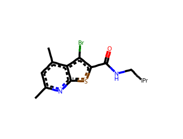 Cc1cc(C)c2c(Br)c(C(=O)NCC(C)C)sc2n1